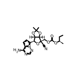 CC[C@@H](C)OC(=O)OC[C@@]1(C#N)O[C@@H](c2ccc3c(N)ncnn23)[C@@H]2OC(C)(C)O[C@@H]21